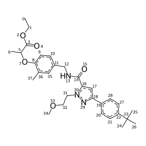 CCOC(=O)C(C)Oc1ccc(CNC(=O)c2cc(-c3ccc(C(C)(C)C)cc3)nn2CCOC)cc1C